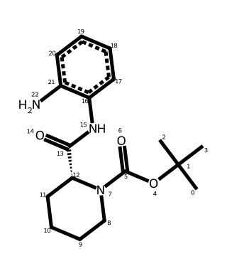 CC(C)(C)OC(=O)N1CCCC[C@@H]1C(=O)Nc1ccccc1N